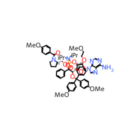 COCCO[C@@H]1[C@H](OP(=O)(OC[C@@H]2CCCN2C(=O)c2ccc(OC)cc2)N(C(C)C)C(C)C)[C@@H](C(OC(c2ccccc2)(c2ccc(OC)cc2)c2ccc(OC)cc2)C(=O)c2ccccc2)O[C@H]1n1cnc2c(N)ncnc21